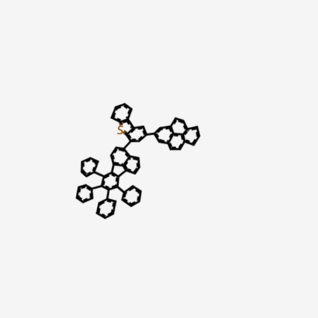 c1ccc(-c2c(-c3ccccc3)c(-c3ccccc3)c3c(c2-c2ccccc2)-c2cccc4c(-c5cc(-c6cc7ccc8cccc9ccc(c6)c7c89)cc6c5sc5ccccc56)ccc-3c24)cc1